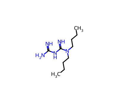 CCCCN(CCCC)C(=N)NC(=N)N